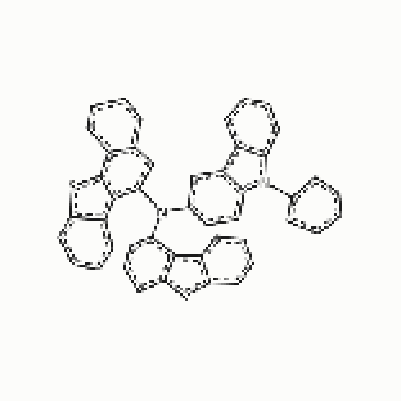 c1ccc(-n2c3ccccc3c3cc(N(c4cccc5sc6ccccc6c45)c4cc5ccccc5c5sc6ccccc6c45)ccc32)cc1